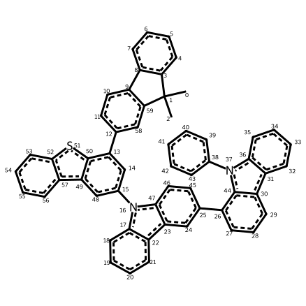 CC1(C)c2ccccc2-c2ccc(-c3cc(-n4c5ccccc5c5cc(-c6cccc7c8ccccc8n(-c8ccccc8)c67)ccc54)cc4c3sc3ccccc34)cc21